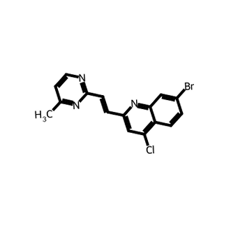 Cc1ccnc(C=Cc2cc(Cl)c3ccc(Br)cc3n2)n1